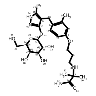 Cc1cc(OCCCNC(C)(C)C(N)=O)ccc1Cc1c(O[C@@H]2O[C@H](CO)[C@H](O)[C@H](O)[C@H]2O)n[nH]c1C(C)C